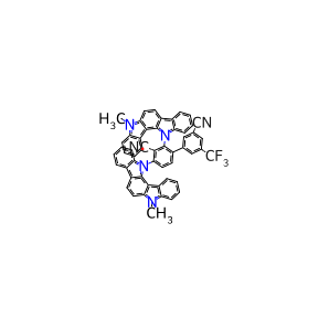 Cn1c2ccccc2c2c1ccc1c3ccccc3n(-c3ccc(-c4cc(C#N)cc(C(F)(F)F)c4)c(-n4c5ccccc5c5ccc6c(c7ccccc7n6C)c54)c3C#N)c12